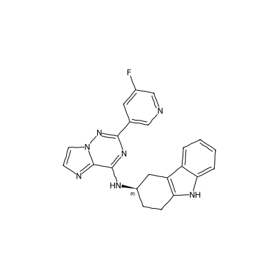 Fc1cncc(-c2nc(N[C@@H]3CCc4[nH]c5ccccc5c4C3)c3nccn3n2)c1